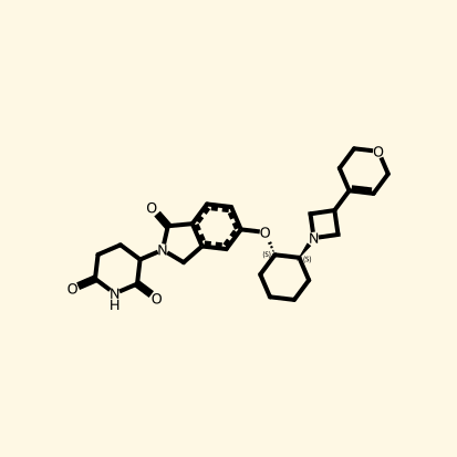 O=C1CCC(N2Cc3cc(O[C@H]4CCCC[C@@H]4N4CC(C5=CCOCC5)C4)ccc3C2=O)C(=O)N1